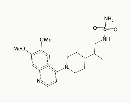 COc1cc2nccc(N3CCC(C(C)CNS(N)(=O)=O)CC3)c2cc1OC